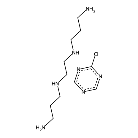 Clc1ncncn1.NCCCNCCNCCCN